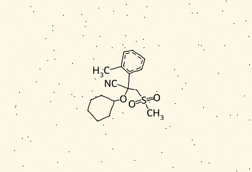 Cc1ccccc1C(C#N)(CS(C)(=O)=O)OC1CCCCC1